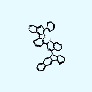 C1=CC2c3cc4ccccc4cc3N(C3=NC(c4cccc5c4oc4c(-c6ccccc6)cc6c(c45)CCC=C6)NC4=C3CCC=C4)C2C=C1